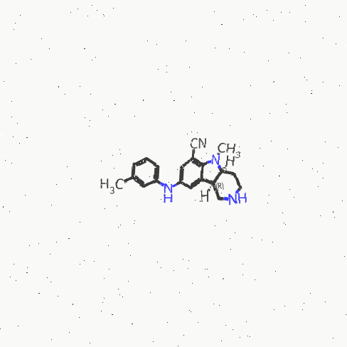 Cc1cccc(Nc2cc(C#N)c3c(c2)[C@@H]2CNCC[C@@H]2N3C)c1